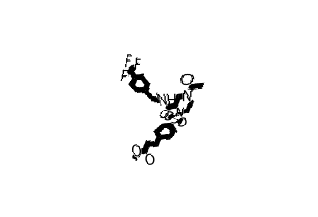 COC(=O)CCc1ccc(S(=O)(=O)N2CCN(C(C)=O)CC2C(=O)NCc2ccc(C(F)(F)F)cc2)cc1